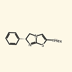 CCCCCCC1=CN2C[C@@H](c3ccccc3)N=C2S1